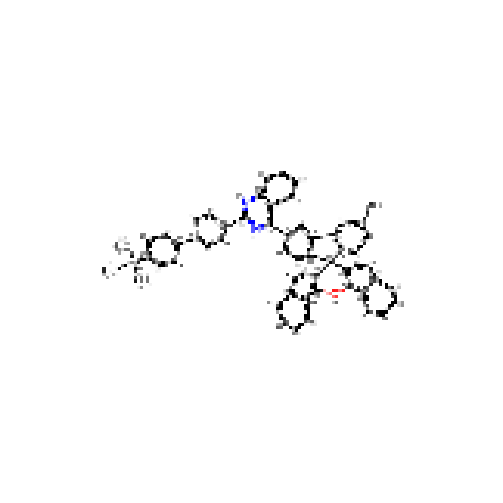 CC(C)(C)c1ccc2c(c1)-c1cc(-c3nc(-c4ccc(-c5ccc([Si](C)(C)C)cc5)cc4)nc4ccccc34)ccc1C21c2ccc3ccccc3c2Oc2c1ccc1ccccc21